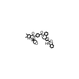 Cc1ccccc1NC(=O)c1cc2c(s1)-c1ccccc1N(C(=O)c1ccc(NC(=O)c3cc(C)c(C)nc3N3CC4(CCOCC4)C3)cc1)CC2